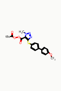 Cn1nnc(Sc2ccc(-c3ccc(OC(F)(F)F)cc3)cc2)c1C(=O)OOC(=O)C(C)(C)C